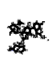 N#Cc1c(N)sc2c(F)ccc(-c3c(Cl)cc4c(N5C[C@@H]6CC[C@](C7CC7)(C5)N6)nc(OC[C@@]56CCCN5C/C(=C\F)C6)nc4c3F)c12